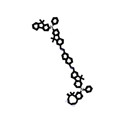 C=C1/C=C\C=C/Cc2ccc(N(c3ccccc3)c3ccc4c(c3)C(C)(C)c3cc(/C=C/c5ccc6cc(/C=C/c7ccc8c(c7)C(C)(C)c7cc(N(c9ccccc9)c9ccc%10c(c9)C(C)(C)c9ccccc9-%10)ccc7-8)ccc6c5)ccc3-4)cc2C1(C)C